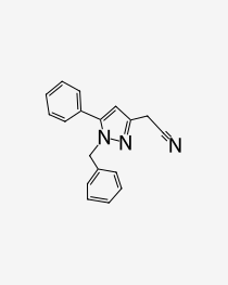 N#CCc1cc(-c2ccccc2)n(Cc2ccccc2)n1